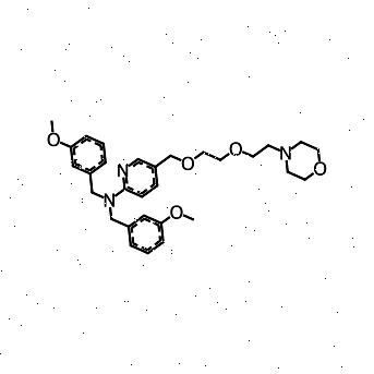 COc1cccc(CN(Cc2cccc(OC)c2)c2ccc(COCCOCCN3CCOCC3)cn2)c1